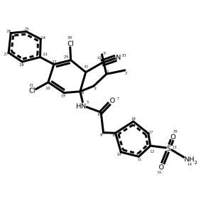 CC(C)CC1(NC(=O)Cc2ccc(S(N)(=O)=O)cc2)C=C(Cl)C(c2ccccc2)=C(Cl)C1C#N